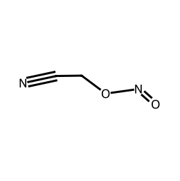 N#CCON=O